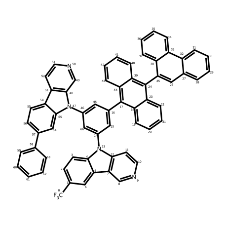 FC(F)(F)c1ccc2c(c1)c1cnccc1n2-c1cc(-c2c3ccccc3c(-c3cc4ccccc4c4ccccc34)c3ccccc23)cc(-n2c3cnccc3c3ccc(-c4ccccc4)cc32)c1